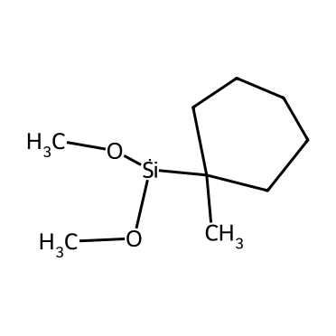 CO[Si](OC)C1(C)CCCCC1